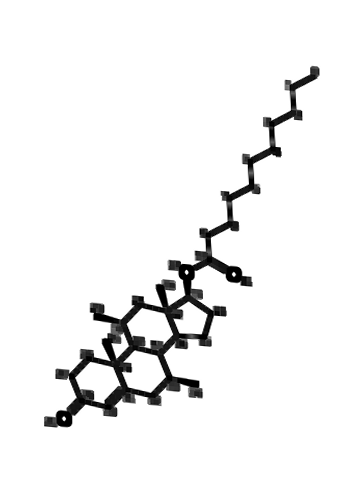 CCCCCCCCCCC(=O)O[C@H]1CCC2C3C([C@@H](C)C[C@@]21C)[C@@]1(C)CCC(=O)C=C1C[C@@H]3C